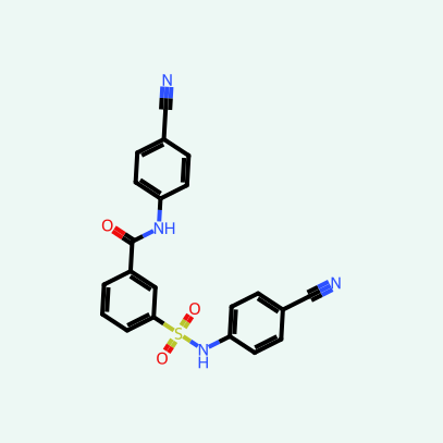 N#Cc1ccc(NC(=O)c2cccc(S(=O)(=O)Nc3ccc(C#N)cc3)c2)cc1